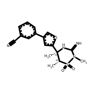 C[C@@H]1[C@@](C)(c2cc(-c3cccc(C#N)c3)cs2)NC(=N)N(C)S1(=O)=O